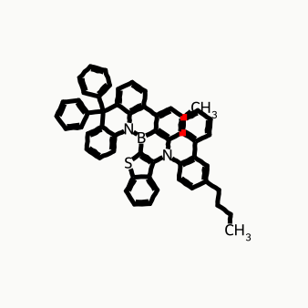 CCCCc1ccc(N2c3cc(C)cc4c3B(c3sc5ccccc5c32)N2c3ccccc3C(c3ccccc3)(c3ccccc3)c3cccc-4c32)c(-c2ccccc2)c1